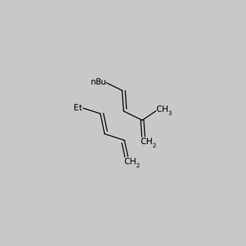 C=C(C)C=CCCCC.C=CC=CCC